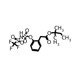 CCC(C)(C)OC(=O)Cc1ccccc1OS(=O)(=O)NS(=O)(=O)C(F)(F)F